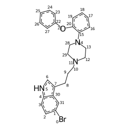 Brc1ccc2[nH]cc(CCCN3CCN(c4ccccc4Oc4ccccc4)CC3)c2c1